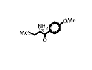 COc1ccc(C(=O)[C@@H](N)CSC)cc1